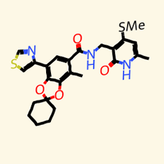 CSc1cc(C)[nH]c(=O)c1CNC(=O)c1cc(-c2cscn2)c2c(c1C)OC1(CCCCC1)O2